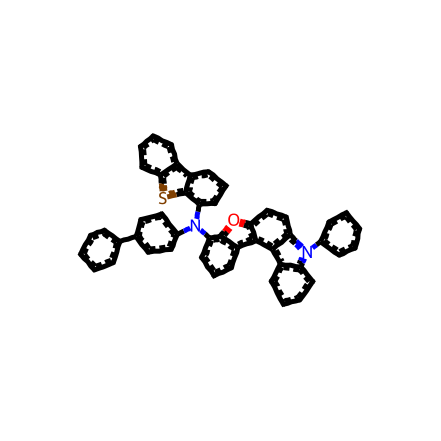 c1ccc(-c2ccc(N(c3cccc4c3oc3ccc5c(c6ccccc6n5-c5ccccc5)c34)c3cccc4c3sc3ccccc34)cc2)cc1